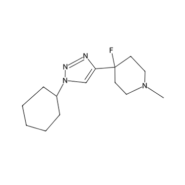 CN1CCC(F)(c2cn(C3CCCCC3)nn2)CC1